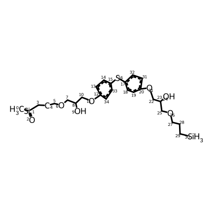 C[Si](=O)CCCOCC(O)COc1ccc(Sc2ccc(OCC(O)COCCC[SiH3])cc2)cc1